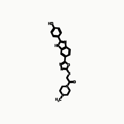 CN1CCN(C(=O)CSc2nnc(-c3ccc4nc(-c5ccc(O)cc5)[nH]c4c3)o2)CC1